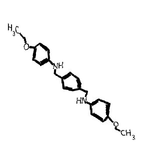 CCOc1ccc(NCc2ccc(CNc3ccc(OCC)cc3)cc2)cc1